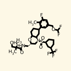 Cc1c(F)cc(COC(F)F)cc1C1CCC2O[C@@H](CNC(=O)C(C)(C)CO)CN(S(=O)(=O)C3CCCC(C(F)(F)F)C3)C2C1